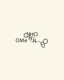 COc1cccnc1N1CCN(CCc2coc3ccccc23)CC1.Cl